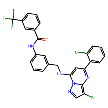 O=C(Nc1cccc(CNc2cc(-c3ccccc3Cl)nc3c(Br)cnn23)c1)c1cccc(C(F)(F)F)c1